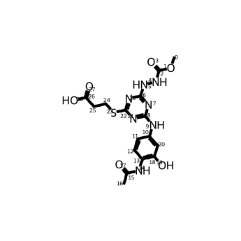 COC(=O)NNc1nc(Nc2ccc(NC(C)=O)c(O)c2)nc(SCCC(=O)O)n1